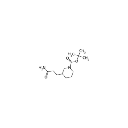 CC(C)(C)OC(=O)N1CCCC(CCC(N)=O)C1